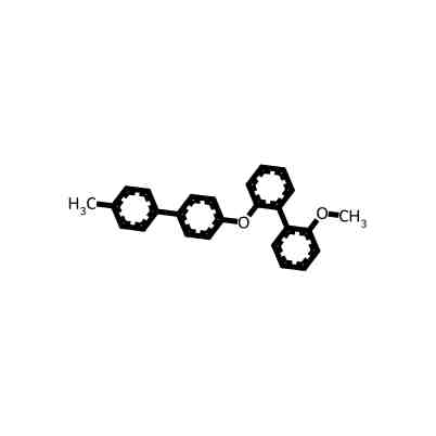 COc1ccccc1-c1ccccc1Oc1ccc(-c2ccc(C)cc2)cc1